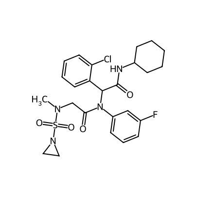 CN(CC(=O)N(c1cccc(F)c1)C(C(=O)NC1CCCCC1)c1ccccc1Cl)S(=O)(=O)N1CC1